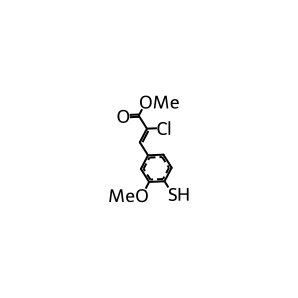 COC(=O)C(Cl)=Cc1ccc(S)c(OC)c1